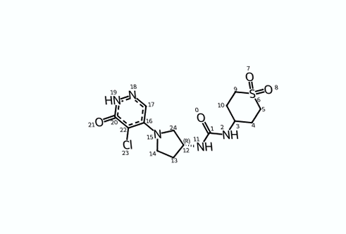 O=C(NC1CCS(=O)(=O)CC1)N[C@@H]1CCN(c2cn[nH]c(=O)c2Cl)C1